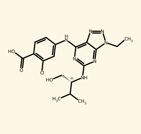 CCn1nnc2c(Nc3ccc(C(=O)O)c(Cl)c3)nc(N[C@@H](CO)C(C)C)nc21